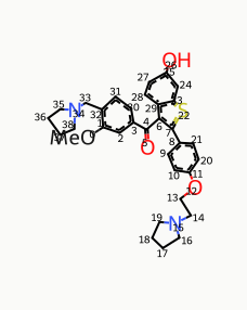 COc1cc(C(=O)c2c(-c3ccc(OCCN4CCCC4)cc3)sc3cc(O)ccc23)ccc1CN1CCCC1